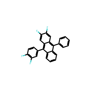 Fc1ccc(-c2c3ccccc3c(-c3ccccc3)c3cc(F)c(F)cc23)cc1F